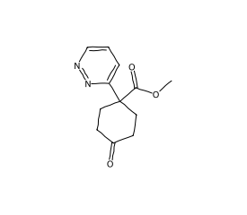 COC(=O)C1(c2cccnn2)CCC(=O)CC1